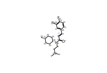 CN(C)CCN(C(=O)/C=C/c1ccc(F)c(F)c1)[C@H]1CC[C@H](C)CC1